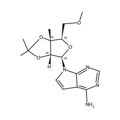 COC[C@H]1O[C@@H](n2ccc3c(N)ncnc32)[C@@H]2OC(C)(C)O[C@]12C